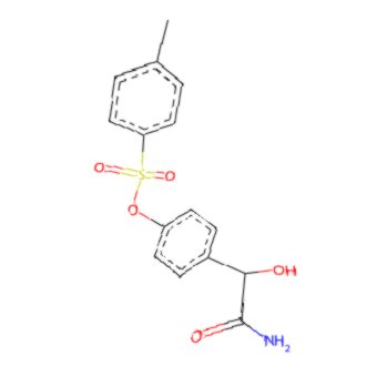 Cc1ccc(S(=O)(=O)Oc2ccc(C(O)C(N)=O)cc2)cc1